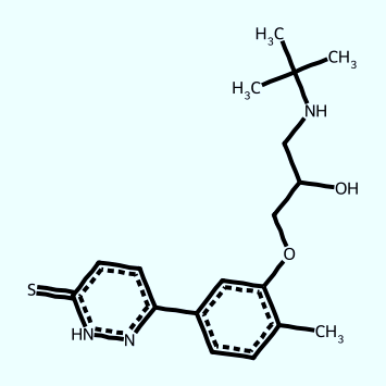 Cc1ccc(-c2ccc(=S)[nH]n2)cc1OCC(O)CNC(C)(C)C